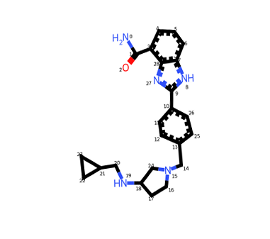 NC(=O)c1cccc2[nH]c(-c3ccc(CN4CCC(NCC5CC5)C4)cc3)nc12